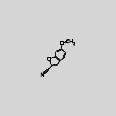 COc1ccc2cc(C#N)oc2c1